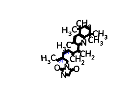 C=C(/C=C\C(=C/C)CN1C(=O)C=NC1=O)C(=C)c1nc2c(cc1C)C(C)(C)C=CC2(C)C